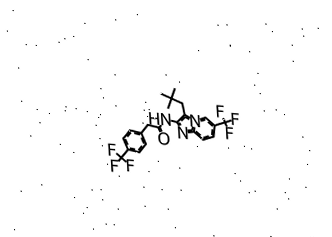 CC(C)(C)Cc1c(NC(=O)Cc2ccc(C(F)(F)F)cc2)nc2ccc(C(F)(F)F)cn12